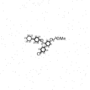 COCCOc1ccc(-c2ccc(Cl)cc2)c(COc2ccc(C3[CH]CCCC3)cc2)c1